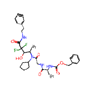 CC(C)C(C(O)C(F)(F)C(=O)NCCc1ccccc1)N(C(=O)CNC(=O)[C@@H](NC(=O)OCc1ccccc1)C(C)C)C1CCCC1